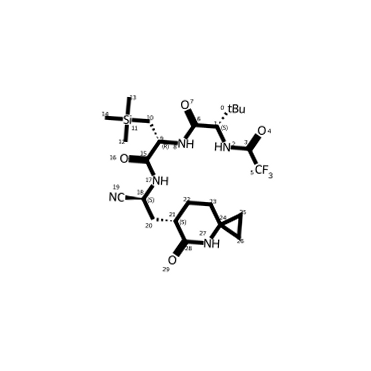 CC(C)(C)[C@H](NC(=O)C(F)(F)F)C(=O)N[C@@H](C[Si](C)(C)C)C(=O)N[C@H](C#N)C[C@@H]1CCC2(CC2)NC1=O